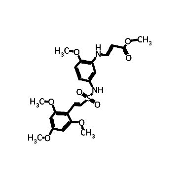 COC(=O)C=CNc1cc(NS(=O)(=O)C=Cc2c(OC)cc(OC)cc2OC)ccc1OC